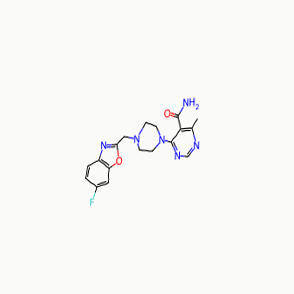 Cc1ncnc(N2CCN(Cc3nc4ccc(F)cc4o3)CC2)c1C(N)=O